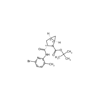 Cc1ccc(Br)nc1NC(=O)[C@@H]1C[C@H]2C[C@H]2N1C(=O)OC(C)(C)C